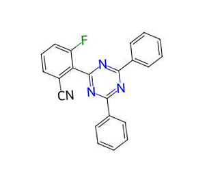 N#Cc1cccc(F)c1-c1nc(-c2ccccc2)nc(-c2ccccc2)n1